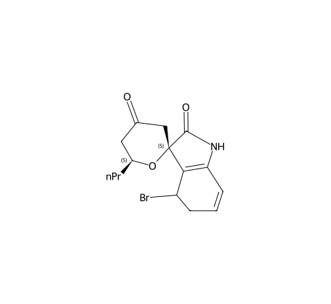 CCC[C@H]1CC(=O)C[C@@]2(O1)C(=O)NC1=C2C(Br)CC=C1